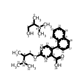 CC(CO)N(C)C.CC(COc1ncc(-c2cccc3ccccc23)c(C(=O)O)n1)N(C)C